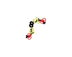 C=C(C)C(=O)OCC1CSC(CSc2ccc3ccc(SCC4SCC(COC(=O)C(=C)C)S4)cc3c2)S1